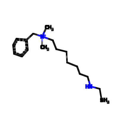 C[N+](C)(CCCCCCCNC[SiH3])Cc1ccccc1